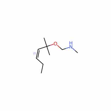 CC/C=C\C(C)(C)OCNC